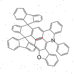 c1ccc(N(c2ccccc2-c2ccc3c(c2)C2(c4ccccc4-c4ccccc42)c2ccccc2C32c3ccccc3-c3ccccc32)c2cccc3oc4ccccc4c23)cc1